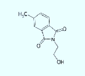 Cc1ccc2c(c1)C(=O)N(CCO)C2=O